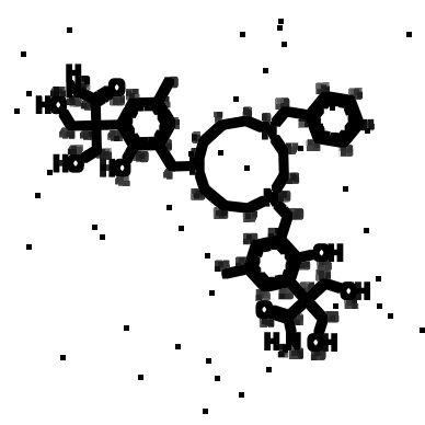 Cc1cc(CN2CCCN(Cc3ccccc3)CCN(Cc3cc(C)cc(C(CO)(CO)C(N)=O)c3O)CCC2)c(O)c(C(CO)(CO)C(N)=O)c1